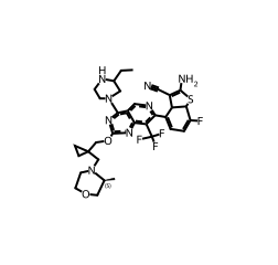 CCC1CN(c2nc(OCC3(CN4CCOC[C@@H]4C)CC3)nc3c(C(F)(F)F)c(C4=CC=C(F)C5SC(N)=C(C#N)C45)ncc23)CCN1